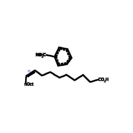 CCCCCCCC/C=C\CCCCCCCC(=O)O.O=C(O)c1ccccc1.[NaH]